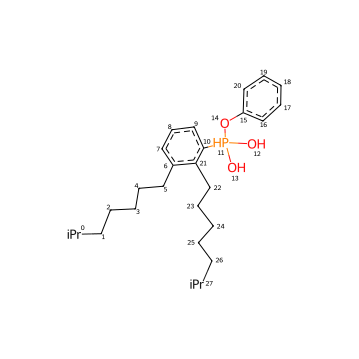 CC(C)CCCCCc1cccc([PH](O)(O)Oc2ccccc2)c1CCCCCC(C)C